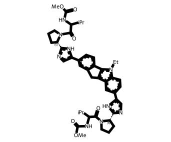 CCn1c2c(c3cc(-c4cnc([C@@H]5CCCN5C(=O)C(NC(=O)OC)C(C)C)[nH]4)ccc31)Cc1cc(-c3cnc([C@@H]4CCCN4C(=O)C(NC(=O)OC)C(C)C)[nH]3)ccc1-2